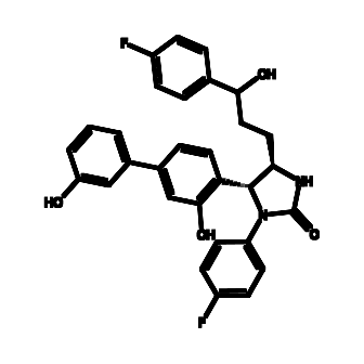 O=C1N[C@H](CCC(O)c2ccc(F)cc2)[C@@H](c2ccc(-c3cccc(O)c3)cc2O)N1c1ccc(F)cc1